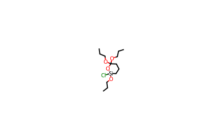 CCCOC1(OCCC)CCC[Si](Cl)(OCCC)O1